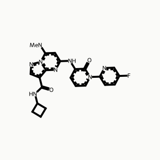 CNc1cc(Nc2cccn(-c3ccc(F)cn3)c2=O)nc2c(C(=O)NC3CCC3)cnn12